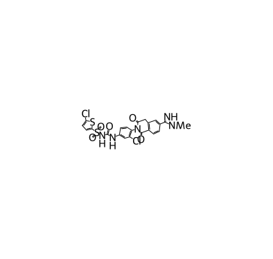 CNC(=N)c1ccc2c(c1)CC(=O)N(c1ccc(NC(=O)NS(=O)(=O)c3ccc(Cl)s3)cc1Cl)C2=O